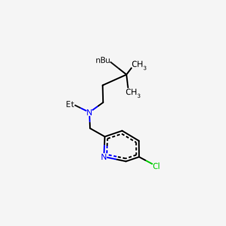 CCCCC(C)(C)CCN(CC)Cc1ccc(Cl)cn1